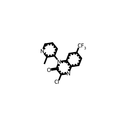 Cc1ncccc1-n1c(=O)c(Cl)nc2ccc(C(F)(F)F)cc21